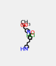 COC(=O)CC1CCN(C(=O)c2ccc(CCC3CCNCC3)cc2)CC1.Cl